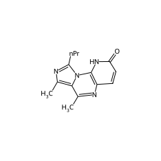 CCCc1nc(C)c2c(C)nc3ccc(=O)[nH]c3n12